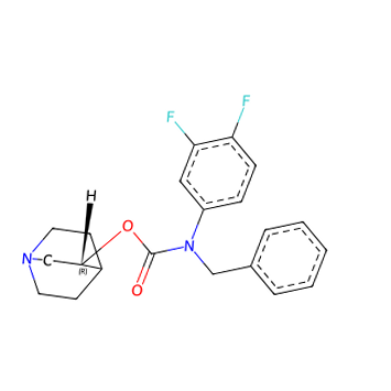 O=C(O[C@H]1CN2CCC1CC2)N(Cc1ccccc1)c1ccc(F)c(F)c1